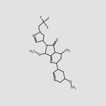 COC1CN=CC(C2CC(C)C3C(=O)N(C4C=NN(CC(F)(F)F)C4)C(OC)C3=N2)C1